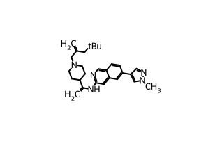 C=C(CN1CCC(C(=C)Nc2cc3cc(-c4cnn(C)c4)ccc3cn2)CC1)CC(C)(C)C